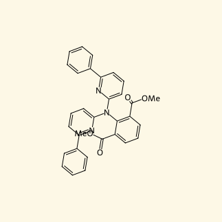 COC(=O)c1cccc(C(=O)OC)c1N(c1cccc(-c2ccccc2)n1)c1cccc(-c2ccccc2)n1